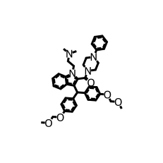 COCOc1ccc(C(c2ccc(OCOC)cc2)c2c(C(=O)N3CCN(c4ccccc4)CC3)n(CCN(C)C)c3ccccc23)cc1